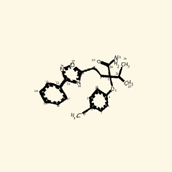 Cc1ccc(OC(CCc2nc(-c3ccccc3)no2)(C(N)=O)C(C)C)cc1